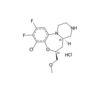 COC[C@@H]1C[C@@H]2CNCCN2c2cc(F)c(F)c(Cl)c2O1.Cl